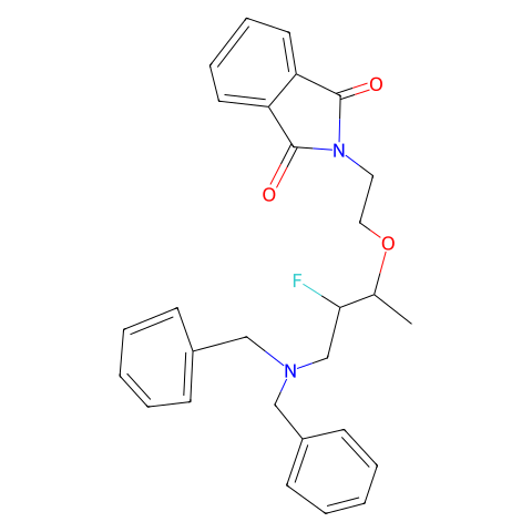 CC(OCCN1C(=O)c2ccccc2C1=O)C(F)CN(Cc1ccccc1)Cc1ccccc1